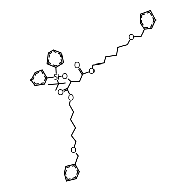 CC(C)(C)[Si](OC(CC(=O)OCCCCCCOCc1ccccc1)C(=O)OCCCCCCOCc1ccccc1)(c1ccccc1)c1ccccc1